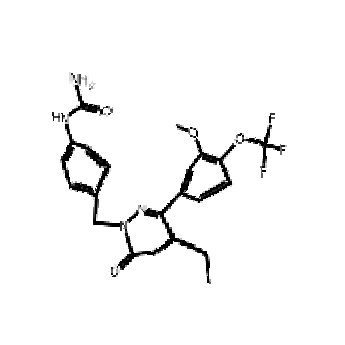 CCC1CC(=O)N(Cc2ccc(NC(N)=O)cc2)N=C1c1ccc(OC(F)(F)F)c(OC)c1